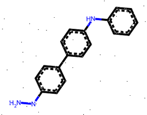 N[N]c1ccc(-c2ccc(Nc3ccccc3)cc2)cc1